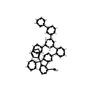 N#Cc1cccc2c1-c1cc(-c3ccccc3-c3cc(-c4cccc(-c5ccccc5)c4)nc(-c4ccccc4)n3)ccc1C2(C1=CCCC=C1)c1ccccc1